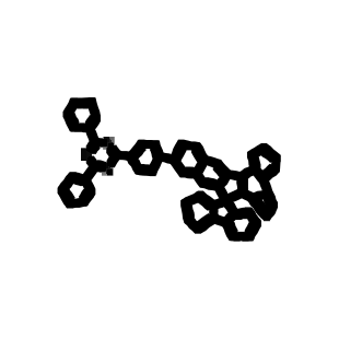 c1ccc(-c2nc(-c3ccccc3)nc(-c3ccc(-c4ccc5cc6c(cc5c4)C4(c5ccccc5-c5ccccc54)c4c-6c5ccccc5c5ccccc45)cc3)n2)cc1